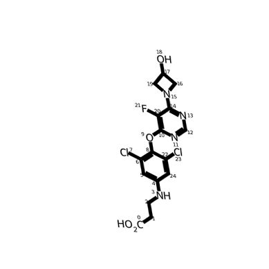 O=C(O)CCNc1cc(Cl)c(Oc2ncnc(N3CC(O)C3)c2F)c(Cl)c1